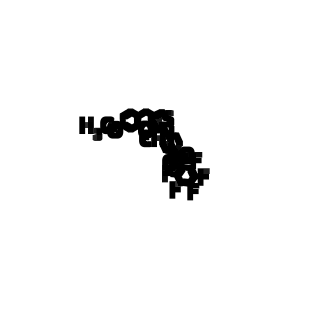 COc1ccc(Cc2csc(N3CCN(S(=O)(=O)c4c(F)c(F)c(F)c(F)c4F)CC3)n2)c(OC)c1